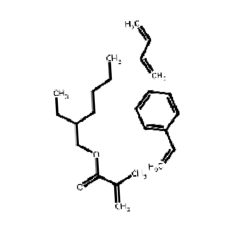 C=C(C)C(=O)OCC(CC)CCCC.C=CC=C.C=Cc1ccccc1